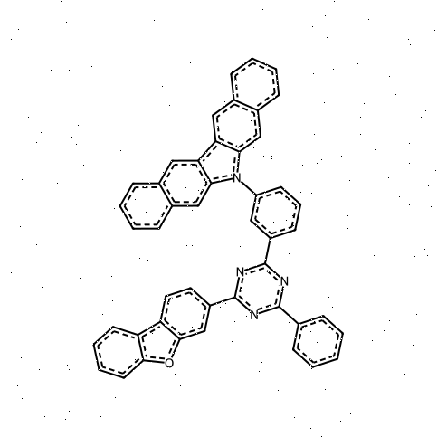 c1ccc(-c2nc(-c3cccc(-n4c5cc6ccccc6cc5c5cc6ccccc6cc54)c3)nc(-c3ccc4c(c3)oc3ccccc34)n2)cc1